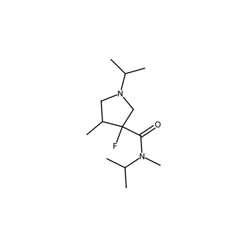 CC(C)N1CC(C)C(F)(C(=O)N(C)C(C)C)C1